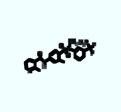 Cc1cc(NC(=O)c2cccnc2C)ccc1S(=O)(=O)N(P)c1cccc(C(F)(F)P)c1